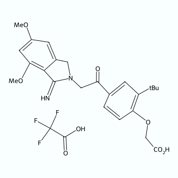 COc1cc2c(c(OC)c1)C(=N)N(CC(=O)c1ccc(OCC(=O)O)c(C(C)(C)C)c1)C2.O=C(O)C(F)(F)F